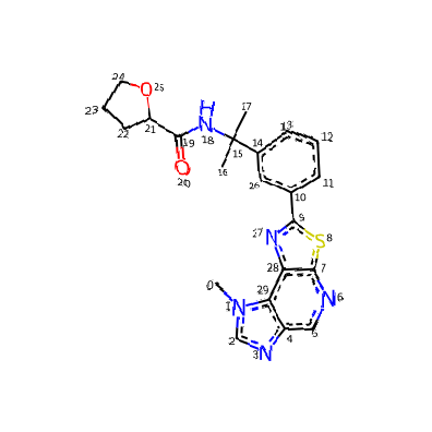 Cn1cnc2cnc3sc(-c4cccc(C(C)(C)NC(=O)C5CCCO5)c4)nc3c21